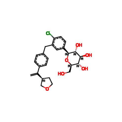 C=C(c1ccc(Cc2cc([C@@H]3O[C@H](CO)[C@@H](O)[C@H](O)[C@H]3O)ccc2Cl)cc1)[C@H]1CCOC1